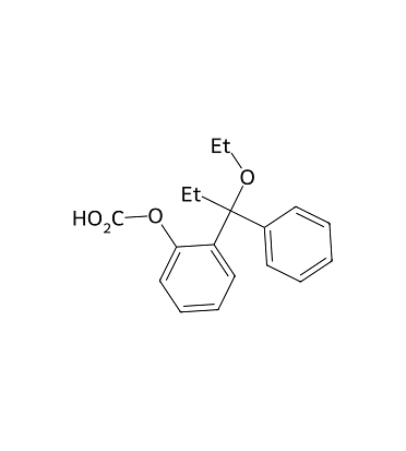 CCOC(CC)(c1ccccc1)c1ccccc1OC(=O)O